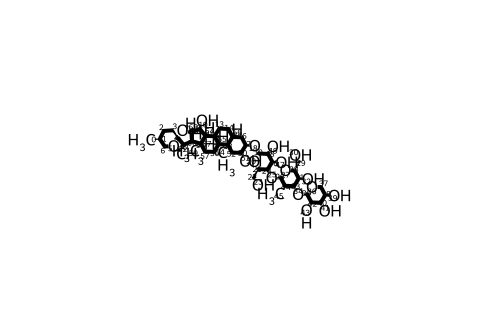 C[C@@H]1CC[C@@]2(OC1)O[C@H]1[C@@H](O)[C@H]3[C@@H]4CC[C@H]5C[C@@H](O[C@@H]6O[C@H](CO)[C@H](O[C@@H]7O[C@H](CO)[C@@H](O)[C@H](O[C@@H]8OC[C@@H](O)[C@H](O)[C@H]8O)[C@H]7C)[C@H](O)[C@H]6O)[C@H](O)C[C@]5(C)[C@H]4CC[C@]3(C)[C@H]1[C@@H]2C